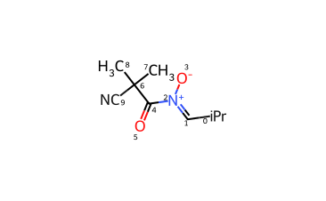 CC(C)C=[N+]([O-])C(=O)C(C)(C)C#N